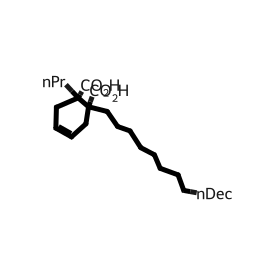 CCCCCCCCCCCCCCCCCCC1(C(=O)O)CC=CCC1(CCC)C(=O)O